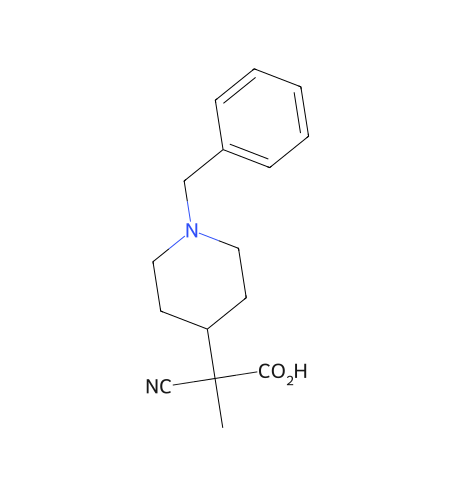 CC(C#N)(C(=O)O)C1CCN(Cc2ccccc2)CC1